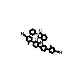 Cc1cc(C#N)ccc1-c1ccc2c3ccc(-c4ccc(C#N)cc4C)cc3n(-c3cccc4c3C(=O)N(c3ccccc3)C4=O)c2c1